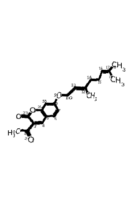 CC(=O)c1cc2ccc(OC/C=C(\C)CCC=C(C)C)cc2oc1=O